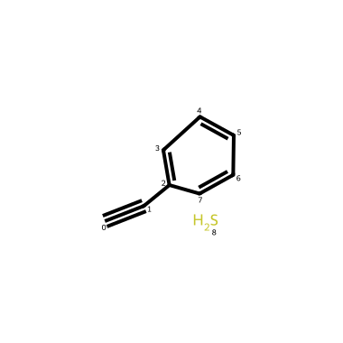 C#Cc1ccccc1.S